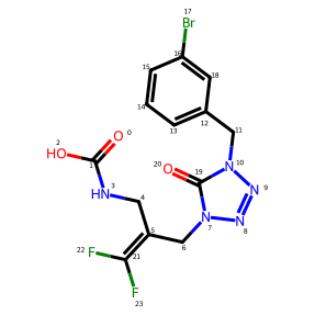 O=C(O)NCC(Cn1nnn(Cc2cccc(Br)c2)c1=O)=C(F)F